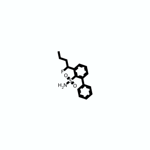 CCCC(F)c1cccc(-c2ccccc2)c1S(N)(=O)=O